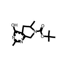 Cc1nc(O)c2c(n1)CN(C(=O)OC(C)(C)C)C(C)C2